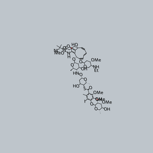 CCN[C@H]1CO[C@@H](O[C@H]2[C@H](O[C@H]3C#C/C=C/C#C[C@]4(O)CC(=O)C(NC(=O)OC)=C3/C4=C\CSSC(C)(C)C#N)O[C@H](C)[C@@H](NO[C@H]3C[C@H](O)[C@H](SC(=O)c4c(C)c(I)c(O[C@@H]5O[C@@H](C)[C@H](O)[C@@H](OC)[C@H]5O)c(OC)c4OC)[C@@H](C)O3)[C@@H]2O)C[C@@H]1OC